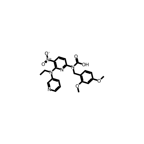 CCN(c1cccnc1)c1nc(N(Cc2ccc(OC)cc2OC)C(=O)O)ccc1[N+](=O)[O-]